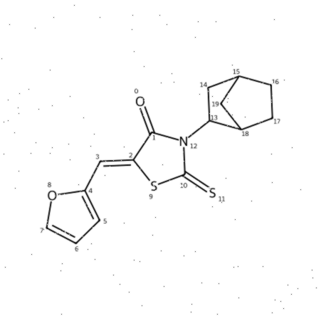 O=C1/C(=C/c2ccco2)SC(=S)N1C1CC2CCC1C2